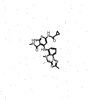 Cc1nc2n(n1)-c1cccc(Nc3cc(NC(=O)C4CC4)nc4[nH]n(C)c(=O)c34)c1N(C)[C@H]2C